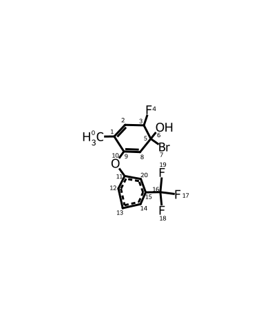 CC1=CC(F)C(O)(Br)C=C1Oc1cccc(C(F)(F)F)c1